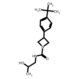 CC(O)CNC(=O)N1CC(c2ccc(C(C)(C)C)cc2)C1